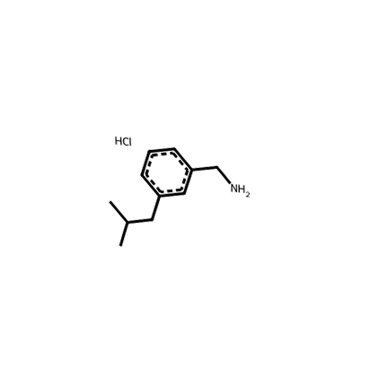 CC(C)Cc1cccc(CN)c1.Cl